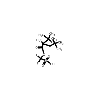 CC(C)(C)CC(C)(C(=O)OC(F)(F)S(=O)(=O)O)C(C)(C)C